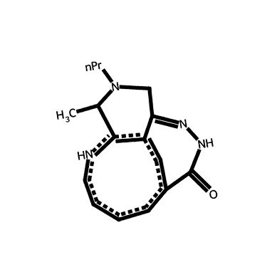 CCCN1CC2=NNC(=O)c3cccc[nH]c(c2c3)C1C